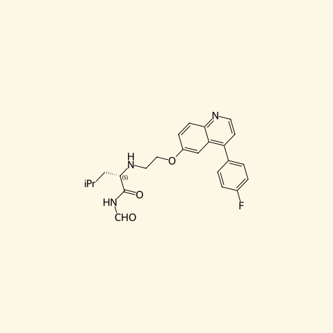 CC(C)C[C@H](NCCOc1ccc2nccc(-c3ccc(F)cc3)c2c1)C(=O)NC=O